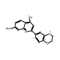 COc1ccc2c(O)cc(-c3ccc4c(c3)OCCO4)nc2c1